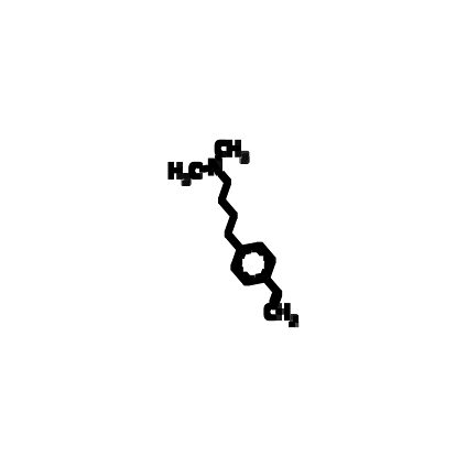 C=Cc1ccc(CCCCN(C)C)cc1